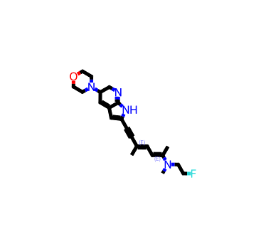 C/C(C#Cc1cc2c([nH]1)=NCC(N1CCOCC1)C=2)=C\C=C(/C)N(C)CCF